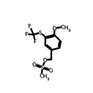 COc1ccc(COS(C)(=O)=O)cc1SC(F)(F)F